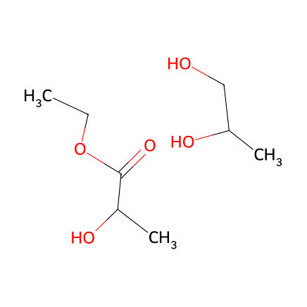 CC(O)CO.CCOC(=O)C(C)O